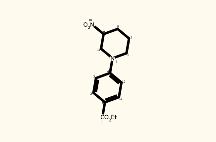 CCOC(=O)c1ccc(N2CCCC([N+](=O)[O-])C2)cc1